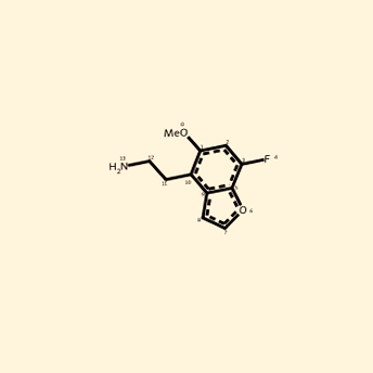 COc1cc(F)c2occc2c1CCN